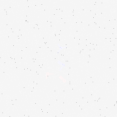 CCCCCOC(=O)N=C(C)N1C[CH]CC1